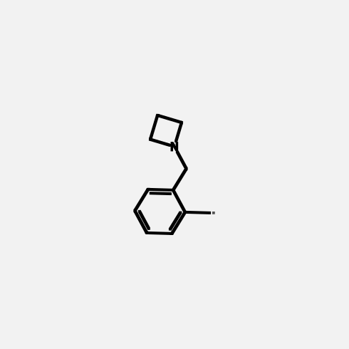 [CH2]c1ccccc1CN1CCC1